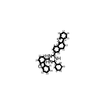 C1=CC(C2NC(c3ccc4c(ccc5c6ccccc6sc45)c3)NC(c3cccc4oc5ccccc5c34)N2)=CCC1